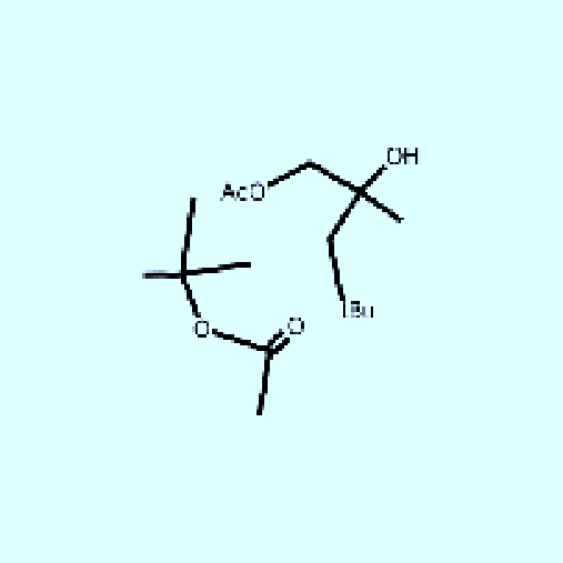 CC(=O)OC(C)(C)C.CC(=O)OCC(C)(O)CC(C)(C)C